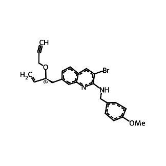 C#CCO[C@H](C=C)Cc1ccc2cc(Br)c(NCc3ccc(OC)cc3)nc2c1